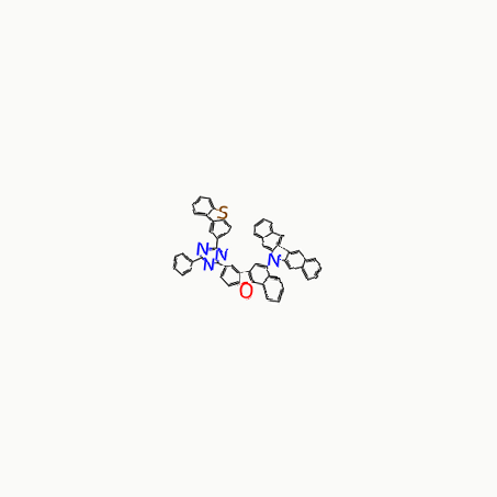 c1ccc(-c2nc(-c3ccc4oc5c6ccccc6c(-n6c7cc8ccccc8cc7c7cc8ccccc8cc76)cc5c4c3)nc(-c3ccc4sc5ccccc5c4c3)n2)cc1